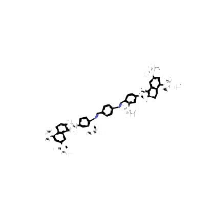 O=S(=O)(O)c1cc(S(=O)(=O)O)c2ccc3nn(-c4ccc(/C=C/c5ccc(/C=C/c6ccc(-n7nc8ccc9c(S(=O)(=O)O)cc(S(=O)(=O)O)cc9c8n7)cc6S(=O)(=O)O)cc5)c(S(=O)(=O)O)c4)nc3c2c1